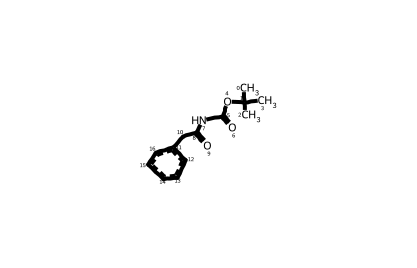 CC(C)(C)OC(=O)NC(=O)Cc1ccccc1